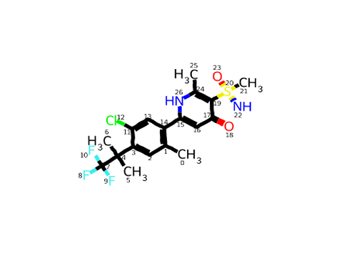 Cc1cc(C(C)(C)C(F)(F)F)c(Cl)cc1-c1cc(=O)c(S(C)(=N)=O)c(C)[nH]1